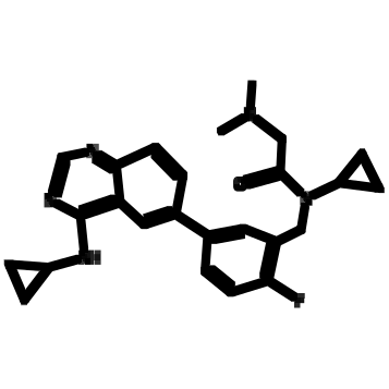 CN(C)CC(=O)N(Cc1cc(-c2ccc3ncnc(NC4CC4)c3c2)ccc1F)C1CC1